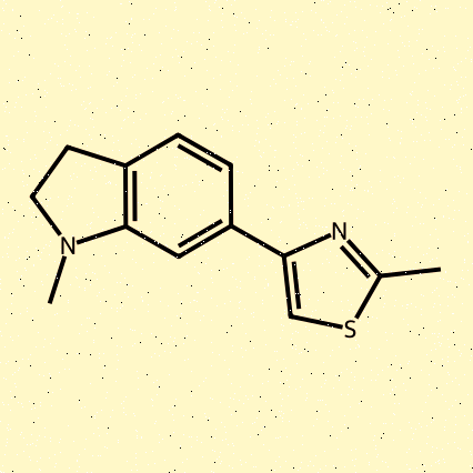 Cc1nc(-c2ccc3c(c2)N(C)CC3)cs1